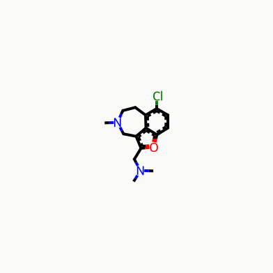 CN(C)Cc1oc2ccc(Cl)c3c2c1CN(C)CC3